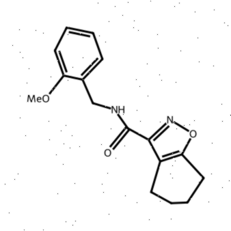 COc1ccccc1CNC(=O)c1noc2c1CCCC2